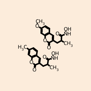 COc1ccc2cc(CC(C)C(=O)NO)c(=O)oc2c1.Cc1ccc2cc(CC(C)C(=O)NO)c(=O)oc2c1